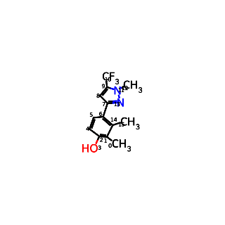 Cc1c(O)ccc(-c2cc(C(F)(F)F)n(C)n2)c1C